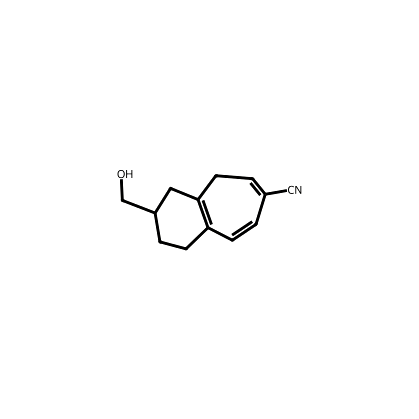 N#CC1=CCC2=C(C=C1)CCC(CO)C2